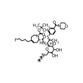 C[C@H](Sc1ccc(C(=O)N2CCOCC2)cc1)[C@@H](NC(=O)[C@@H]1CC=C(CCCCF)CCN1C(=O)OC(C)(C)C)[C@H]1OC(CN=[N+]=[N-])[C@H](O)C(O)C1O